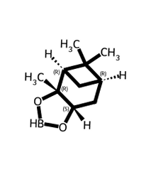 CC1(C)[C@H]2C[C@@H]3OBO[C@]3(C)[C@@H]1C2